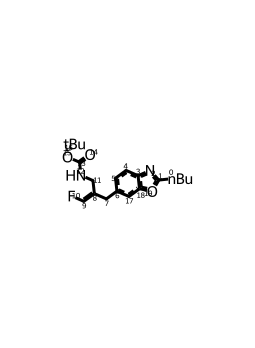 CCCCc1nc2ccc(C/C(=C/F)CNC(=O)OC(C)(C)C)cc2o1